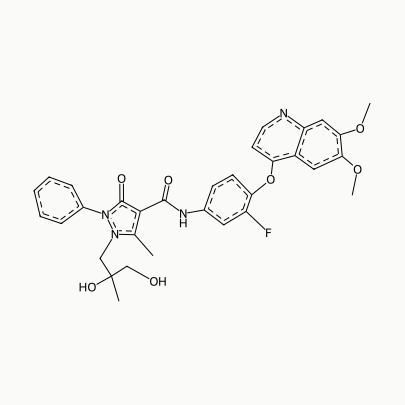 COc1cc2nccc(Oc3ccc(NC(=O)c4c(C)n(CC(C)(O)CO)n(-c5ccccc5)c4=O)cc3F)c2cc1OC